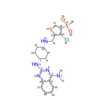 CN(C)c1nc(N[C@H]2CC[C@@H](NCc3scc(S(C)(=O)=O)c3Cl)CC2)nc2ccccc12